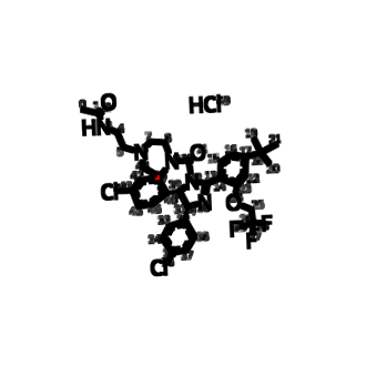 CC(=O)NCCN1CCN(C(=O)N2C(c3ccc(C(C)(C)C)cc3OCC(F)(F)F)=N[C@@H](c3ccc(Cl)cc3)[C@H]2c2ccc(Cl)cc2)CC1.Cl